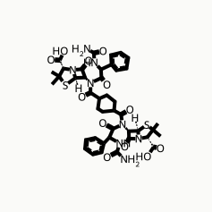 CC1(C)S[C@@H]2[C@H](N(C(=O)C3CCC(C(=O)N(C(=O)C(NC(N)=O)c4ccccc4)[C@@H]4C(=O)N5[C@@H]4SC(C)(C)[C@@H]5C(=O)O)CC3)C(=O)C(NC(N)=O)c3ccccc3)C(=O)N2[C@H]1C(=O)O